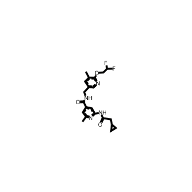 Cc1cc(C(=O)NCc2cnc(OCC(F)F)c(C)c2)cc(NC(=O)CC2CC2)n1